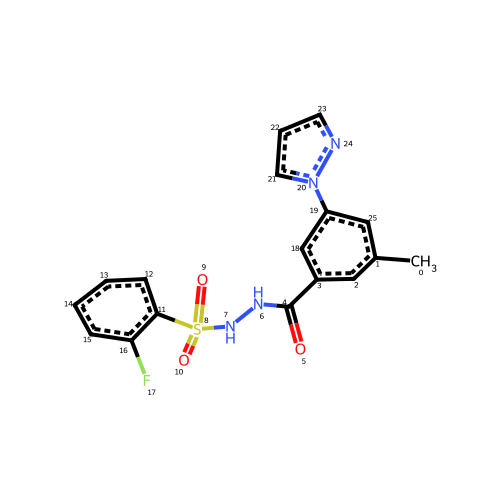 Cc1cc(C(=O)NNS(=O)(=O)c2ccccc2F)cc(-n2cccn2)c1